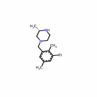 CCc1cc(C)cc(CN2CCN[C@@H](C)C2)c1C